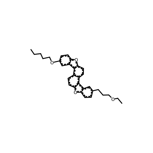 CCCCCOc1ccc2oc3ccc4c(ccc5oc6ccc(CCCOCC)cc6c54)c3c2c1